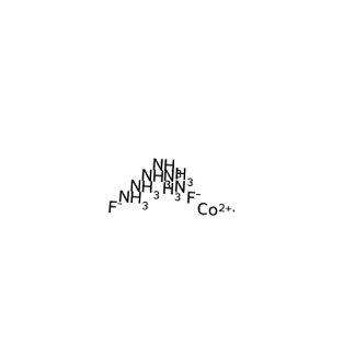 N.N.N.N.N.N.[Co+2].[F-].[F-]